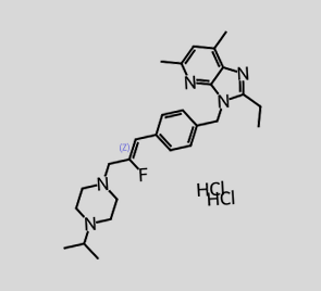 CCc1nc2c(C)cc(C)nc2n1Cc1ccc(/C=C(\F)CN2CCN(C(C)C)CC2)cc1.Cl.Cl